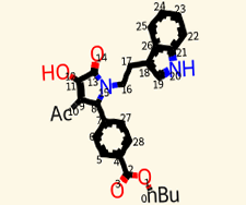 CCCCOC(=O)c1ccc(C2C(C(C)=O)=C(O)C(=O)N2CCc2c[nH]c3ccccc23)cc1